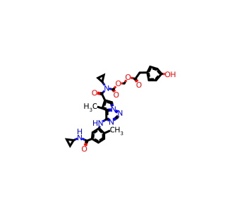 Cc1ccc(C(=O)NC2CC2)cc1Nc1ncnn2cc(C(=O)N(C(=O)OCOC(=O)Cc3ccc(O)cc3)C3CC3)c(C)c12